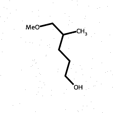 COCC(C)CCCO